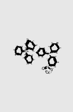 O=[N][Ni+].[Cl-].c1ccc(P(c2ccccc2)c2ccccc2)cc1.c1ccc(P(c2ccccc2)c2ccccc2)cc1